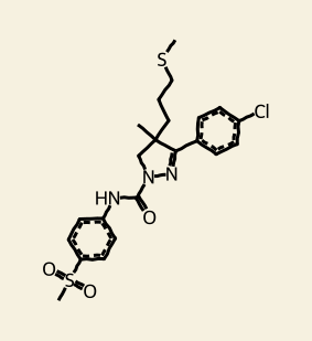 CSCCCC1(C)CN(C(=O)Nc2ccc(S(C)(=O)=O)cc2)N=C1c1ccc(Cl)cc1